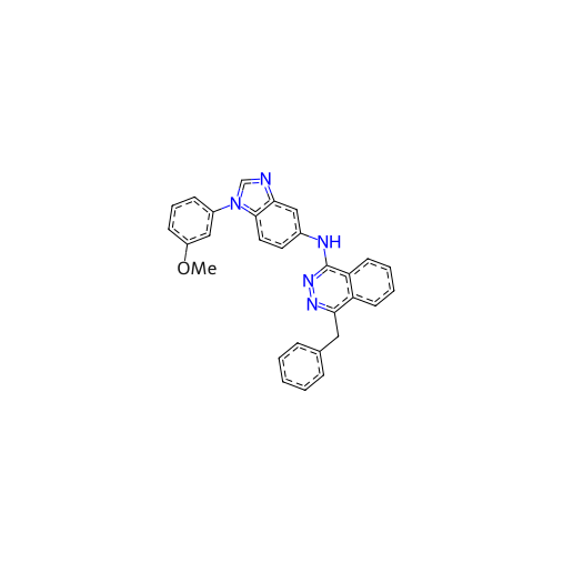 COc1cccc(-n2cnc3cc(Nc4nnc(Cc5ccccc5)c5ccccc45)ccc32)c1